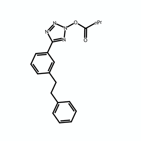 CCCC(=O)On1nnc(-c2cccc(CCc3ccccc3)c2)n1